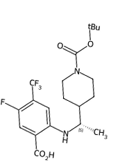 C[C@H](Nc1cc(C(F)(F)F)c(F)cc1C(=O)O)C1CCN(C(=O)OC(C)(C)C)CC1